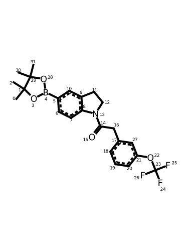 CC1(C)OB(c2ccc3c(c2)CCN3C(=O)Cc2cccc(OC(F)(F)F)c2)OC1(C)C